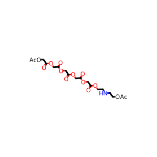 CC(=O)OCCNCCOC(=O)COC(=O)COC(=O)COC(=O)COC(=O)COC(C)=O